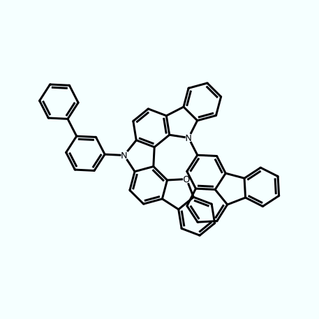 c1ccc(-c2cccc(-n3c4ccc5c6ccccc6oc5c4c4c3ccc3c5ccccc5n(-c5cc6c7c(cccc7c5)-c5ccccc5-6)c34)c2)cc1